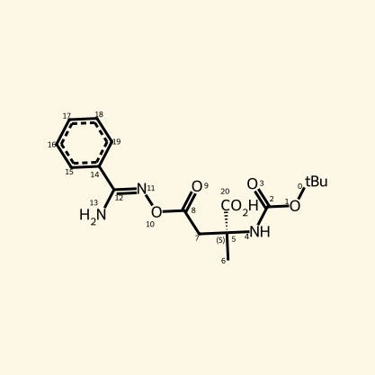 CC(C)(C)OC(=O)N[C@@](C)(CC(=O)ON=C(N)c1ccccc1)C(=O)O